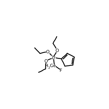 CC[O][Zr]([O]CC)([O]CC)([GeH2][F])[C]1=CC=CC1